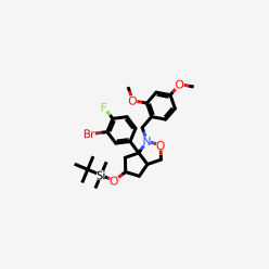 COc1ccc(CN2OCC3CC(O[Si](C)(C)C(C)(C)C)CC32c2ccc(F)c(Br)c2)c(OC)c1